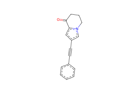 O=C1CCCn2cc(C#Cc3ccccc3)cc21